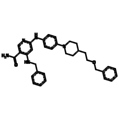 NC(=O)c1cnc(Nc2ccc(N3CCC(CCOCc4ccccc4)CC3)cc2)cc1NCc1ccccc1